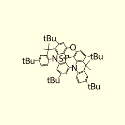 CC(C)(C)c1cc2c3c(c1)N1c4ccc(C(C)(C)C)cc4C(C)(C)c4c(C(C)(C)C)cc5c(c41)P3(=S)c1c(cc(C(C)(C)C)c3c1N2c1ccc(C(C)(C)C)cc1C3(C)C)O5